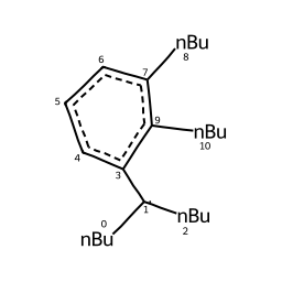 CCCC[C](CCCC)c1cccc(CCCC)c1CCCC